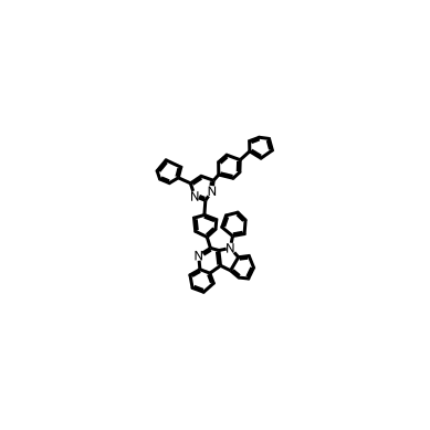 c1ccc(-c2ccc(-c3cc(-c4ccccc4)nc(-c4ccc(-c5nc6ccccc6c6c7ccccc7n(-c7ccccc7)c56)cc4)n3)cc2)cc1